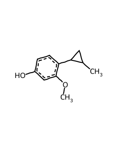 COc1cc(O)ccc1C1CC1C